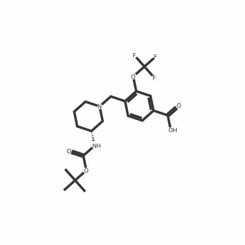 CC(C)(C)OC(=O)N[C@@H]1CCCN(Cc2ccc(C(=O)O)cc2OC(F)(F)F)C1